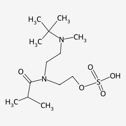 CC(C)C(=O)N(CCOS(=O)(=O)O)CCN(C)C(C)(C)C